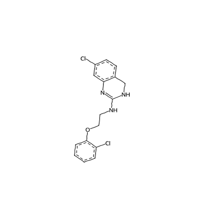 Clc1ccc2c(c1)N=C(NCCOc1ccccc1Cl)NC2